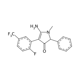 CN1C(N)=C(c2cc(C(F)(F)F)ccc2F)C(=O)C1c1ccccc1